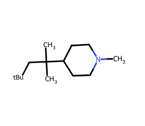 CN1CCC(C(C)(C)CC(C)(C)C)CC1